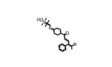 C/C(Br)=C(/C=C/C(=O)C1CCC(=NCC(C)(C)[Si](C)(C)O)CC1)c1ccccc1